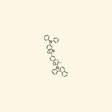 CC1=C(n2c3ccccc3c3c4ccccc4ccc32)Oc2ccc(-c3nc4cc(N(c5ccccc5)c5ccccc5)ccc4o3)cc2C1